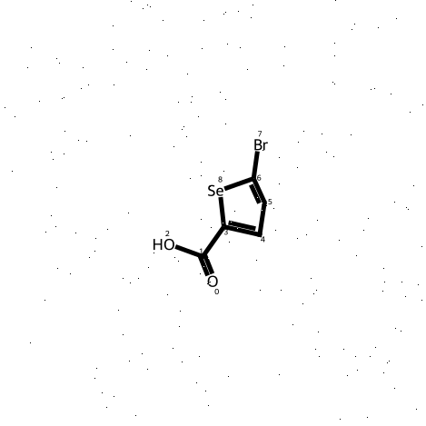 O=C(O)c1ccc(Br)[se]1